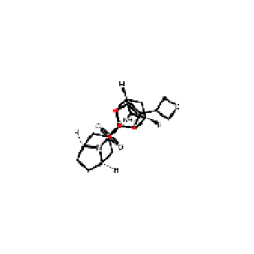 NC1[C@@H]2C[C@H]1CN(S(=O)(=O)N1[C@@H]3CC[C@H]1CC(N1CC=C(C4COC4)O1)C3)C2